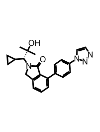 CC(C)(O)[C@@H](C1CC1)N1Cc2cccc(-c3ccc(-n4ccnn4)cc3)c2C1=O